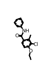 CCOc1ccc(C(=O)Nc2ccccc2)c(C)c1Cl